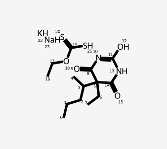 CCCC(C)C1(CC)C(=O)N=C(O)NC1=O.CCOC(=S)S.[KH].[NaH]